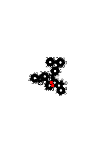 CC1(C)c2ccccc2-c2ccc(N(c3ccc(-c4ccccc4-c4ccccc4)cc3)c3ccc4c(oc5ccccc54)c3-c3ccccc3)cc21